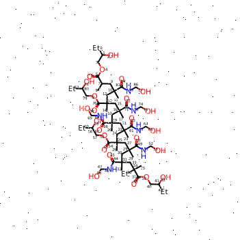 CCC(O)COC(=O)C(C)CC(C)(CC(C)(CC(C)(CC(C)(CC(C)(CC(C)(CC(C)(CC(C)(CC(C)(CC)C(=O)OCC(O)CC)C(=O)NCO)C(=O)NCO)C(=O)OCC(O)CC)C(=O)NCO)C(=O)NCO)C(=O)NCO)C(=O)OCC(O)CC)C(=O)NCO